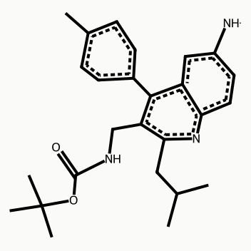 Cc1ccc(-c2c(CNC(=O)OC(C)(C)C)c(CC(C)C)nc3ccc([NH])cc23)cc1